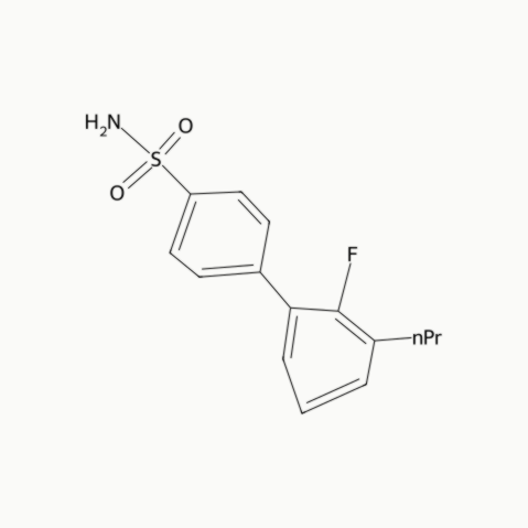 C[CH]Cc1cccc(-c2ccc(S(N)(=O)=O)cc2)c1F